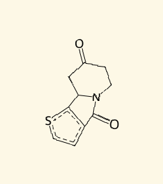 O=C1CCN2C(=O)c3ccsc3C2C1